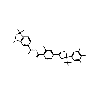 Cc1cc(C2=NO[C@@](c3cc(Cl)c(Cl)c(Cl)c3)(C(F)(F)F)C2)ccc1C(=O)NC(C)c1ccc2c(c1)B(O)OC2(C)C